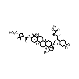 CC(C)OC(=O)N[C@H](C)[C@@H](CN[C@]12CC[C@@H](C(C)C)[C@@H]1[C@H]1CC[C@@H]3[C@@]4(C)CC[C@H](OC(=O)[C@H]5C[C@@H](C(=O)O)C5(C)C)C(C)(C)[C@@H]4CC[C@@]3(C)[C@]1(C)CC2)N1CCS(=O)(=O)CC1